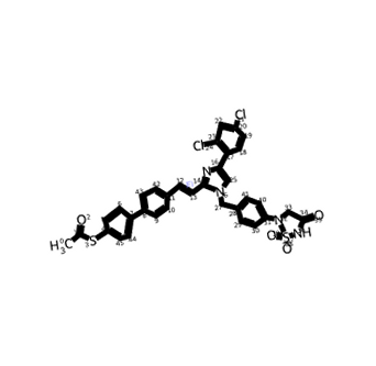 CC(=O)Sc1ccc(-c2ccc(/C=C/c3nc(-c4ccc(Cl)cc4Cl)cn3Cc3ccc(N4CC(=O)NS4(=O)=O)cc3)cc2)cc1